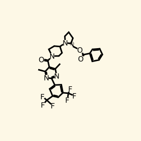 Cc1nc(-c2cc(C(F)(F)F)cc(C(F)(F)F)c2)nc(C)c1C(=O)N1CCC(N2CCC[C@H]2COC(=O)c2ccccc2)CC1